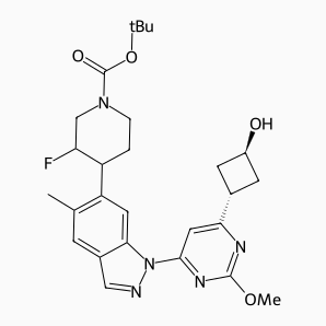 COc1nc(-n2ncc3cc(C)c(C4CCN(C(=O)OC(C)(C)C)CC4F)cc32)cc([C@H]2C[C@H](O)C2)n1